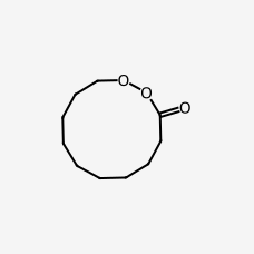 O=C1CCCCCCCCCOO1